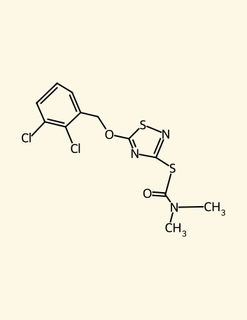 CN(C)C(=O)Sc1nsc(OCc2cccc(Cl)c2Cl)n1